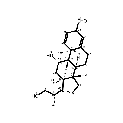 C[C@H](CO)[C@H]1CC[C@H]2[C@@H]3CCC4=CC(C=O)C=C[C@]4(C)[C@H]3[C@@H](O)C[C@]12C